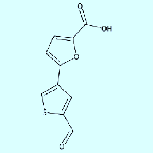 O=Cc1cc(-c2ccc(C(=O)O)o2)cs1